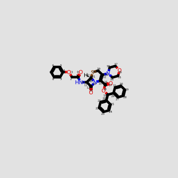 O=C(COc1ccccc1)NC1C(=O)N2C(C(=O)OC(c3ccccc3)c3ccccc3)=C(N3CCOCC3)CS[C@H]12